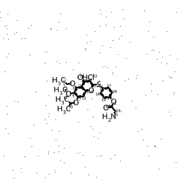 CCOc1c(OC)c(OC(C)C)cc2oc(Sc3ccc(OC(=O)CN)cc3)cc(=O)c12.Cl